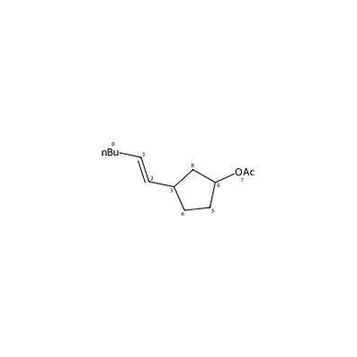 CCCCC=CC1CCC(OC(C)=O)C1